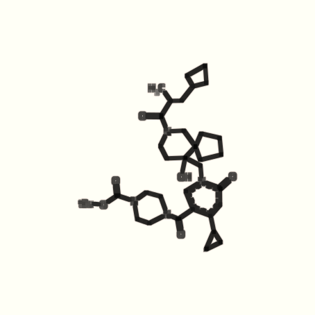 CC(CC1CCC1)C(=O)N1CCC(O)(Cn2cc(C(=O)N3CCN(C(=O)OC(C)(C)C)CC3)c(C3CC3)cc2=O)C2(CCCC2)C1